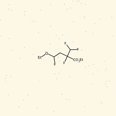 CCOC(=O)C(F)(CC(F)OCC)C(F)F